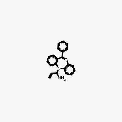 C=CC(N)N1c2ccccc2N=C(c2ccccc2)c2ccccc21